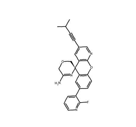 CC(C)C#Cc1cnc2c(c1)[C@]1(COCC(N)=N1)c1cc(-c3cccnc3F)ccc1O2